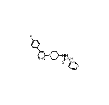 Fc1ccc(-c2ccnc(N3CCC(NC(=S)Nc4cccnc4)CC3)c2)cc1